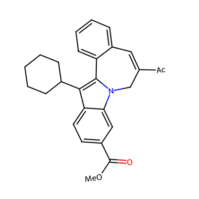 COC(=O)c1ccc2c(C3CCCCC3)c3n(c2c1)CC(C(C)=O)=Cc1ccccc1-3